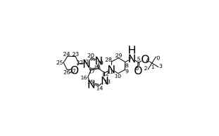 CC(C)(C)OC(=O)NC1CCN(C2=NC=NCc3c2ncn3C2CCCCO2)CC1